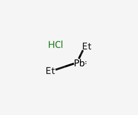 C[CH2][Pb][CH2]C.Cl